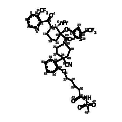 CCC[C@H]1N(C(=O)c2ncccc2C(F)(F)F)CCC[C@@]1(Oc1csc(C(F)(F)F)c1)C(=O)N1CCC(C#N)(c2ccccc2OCCCCC(=O)NS(C)(=O)=O)CC1